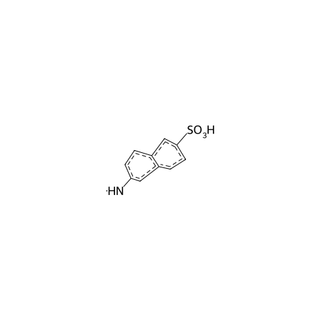 [NH]c1ccc2cc(S(=O)(=O)O)ccc2c1